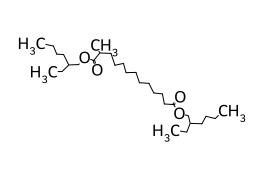 CCCCC(CC)COC(=O)CCCCCCCCCCC(C)C(=O)OCC(CC)CCCC